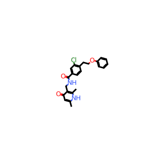 Cc1cc(=O)c(CNC(=O)c2ccc(CCOc3ccccc3)c(Cl)c2)c(C)[nH]1